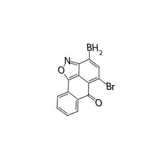 Bc1cc(Br)c2c3c(onc13)-c1ccccc1C2=O